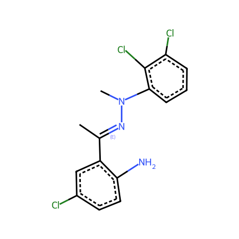 C/C(=N\N(C)c1cccc(Cl)c1Cl)c1cc(Cl)ccc1N